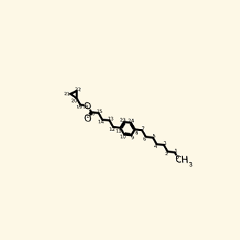 CCCCCCCCc1ccc(CCCCC(=O)OCC2CC2)cc1